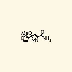 COC1(c2ccon2)C=C(C(N)=O)N=N1